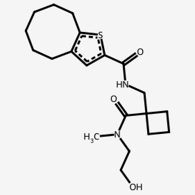 CN(CCO)C(=O)C1(CNC(=O)c2cc3c(s2)CCCCCC3)CCC1